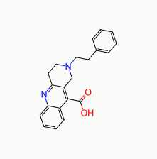 O=C(O)c1c2c(nc3ccccc13)CCN(CCc1ccccc1)C2